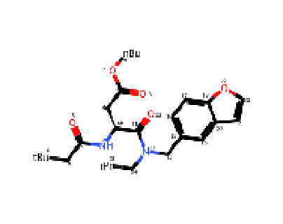 CCCCOC(=O)C[C@H](NC(=O)CC(C)(C)C)C(=O)N(Cc1ccc2occc2c1)CC(C)C